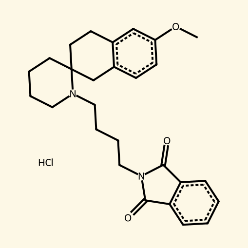 COc1ccc2c(c1)CCC1(CCCCN1CCCCN1C(=O)c3ccccc3C1=O)C2.Cl